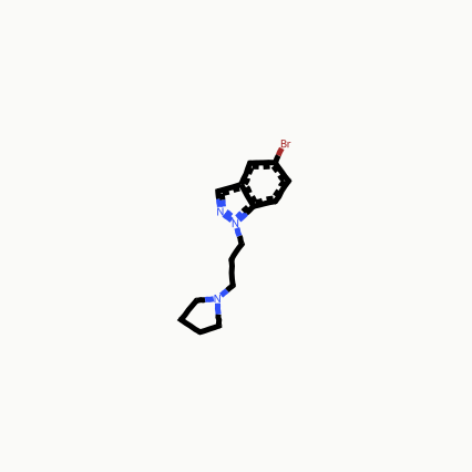 Brc1ccc2c(cnn2CCCN2CCCC2)c1